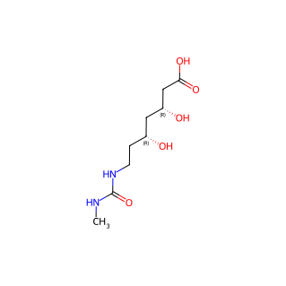 CNC(=O)NCC[C@@H](O)C[C@@H](O)CC(=O)O